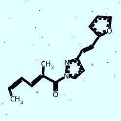 C/C=C\C=C(/C)C(=O)n1ccc(/C=C/c2ccco2)n1